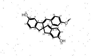 COc1ccc(/C=C2/c3cc(O)ccc3CC23C=C2CC=C(O)C=C2C3)cc1